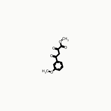 COC(=O)C(=O)CC(=O)c1cccc(OC)c1